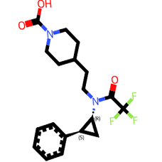 O=C(O)N1CCC(CCN(C(=O)C(F)(F)F)[C@@H]2C[C@H]2c2ccccc2)CC1